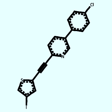 Clc1ccc(-c2ccc(C#Cc3cc(I)cs3)nc2)cc1